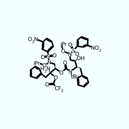 CC(C)ON(C[C@H](O)[C@H](Cc1ccccc1)N(C(=O)O[C@H](CN(OC(C)C)S(=O)(=O)c1cccc([N+](=O)[O-])c1)[C@](N)(Cc1ccccc1)OC(=O)C(F)(F)F)C(C)(C)C)S(=O)(=O)c1cccc([N+](=O)[O-])c1